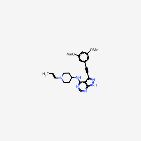 CC=CN1CCC(Nc2ncnc3[nH]nc(C#Cc4cc(OC)cc(OC)c4)c23)CC1